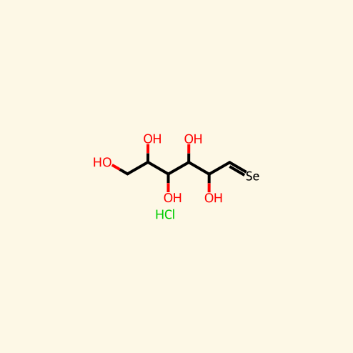 Cl.OCC(O)C(O)C(O)C(O)C=[Se]